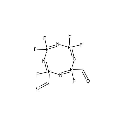 O=CP1(F)=NP(F)(F)=NP(F)(F)=NP(F)(C=O)=N1